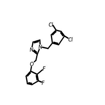 Fc1cccc(OCc2nccn2Cc2cc(Cl)cc(Cl)c2)c1F